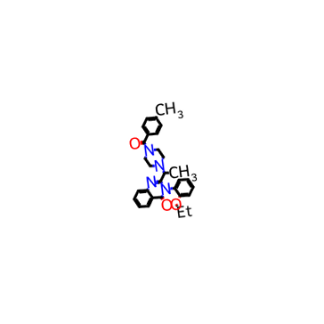 CCOc1ccccc1-n1c(C(C)N2CCN(C(=O)c3ccc(C)cc3)CC2)nc2ccccc2c1=O